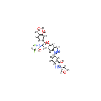 CC(NC(=O)C(C)(F)F)C(Oc1ccc2c(cnn2-c2cccc(C(=O)NC3CCOC3)c2)c1)c1ccc2c(c1)OCOC2